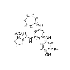 O=C(O)N1CCCC1CNc1nc(Nc2ccc(O)c(F)c2)nc(NC2CCCCCC2)n1